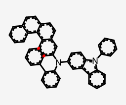 c1ccc(-c2ccccc2N(c2ccc3c(ccc4ccc5ccccc5c43)c2)c2ccc3c(c2)c2ccccc2n3-c2ccccc2)cc1